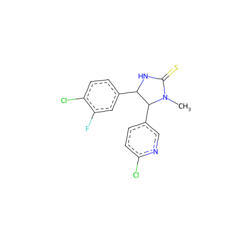 CN1C(=S)NC(c2ccc(Cl)c(F)c2)C1c1ccc(Cl)nc1